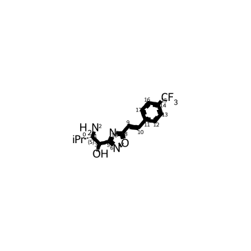 CC(C)[C@H](N)C(O)c1noc(C=Cc2ccc(C(F)(F)F)cc2)n1